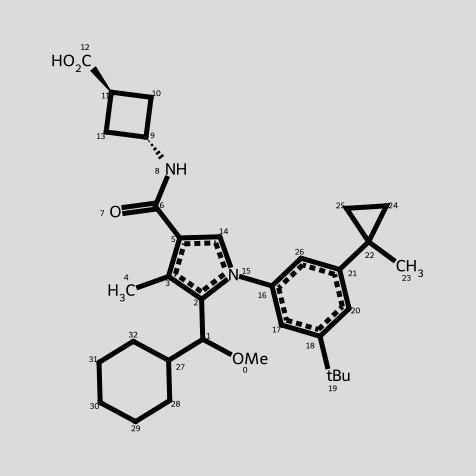 COC(c1c(C)c(C(=O)N[C@H]2C[C@H](C(=O)O)C2)cn1-c1cc(C(C)(C)C)cc(C2(C)CC2)c1)C1CCCCC1